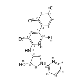 CCc1nc(-c2ccc(Cl)cc2Cl)c(CC)nc1N[C@@H]1CN(c2ccccn2)C[C@@H]1O